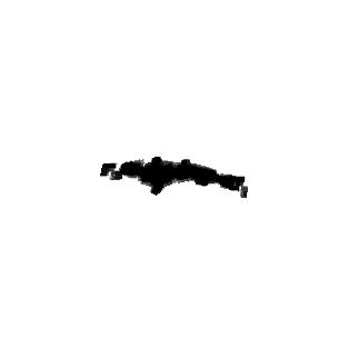 FC(F)(F)c1ccc(C#Cc2ccc3c(c2)sc2cc4c(cc23)sc2cc(/C=C/c3ccc5c(c3)sc3cc6c(cc35)sc3cc(C#Cc5ccc(C(F)(F)F)cc5)ccc36)ccc24)cc1